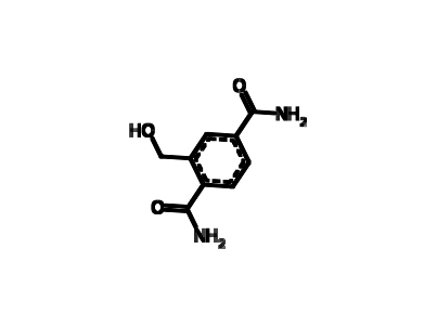 NC(=O)c1ccc(C(N)=O)c(CO)c1